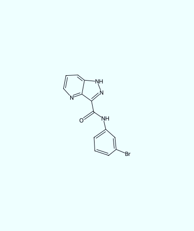 O=C(Nc1cccc(Br)c1)c1n[nH]c2cccnc12